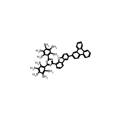 Bc1c(B)c(B)c(-c2nc(-c3c(B)c(B)c(B)c(B)c3B)nc(-c3cccc4c3oc3ccc(-c5ccc6c7ccccc7c7ccccc7c6c5)cc34)n2)c(B)c1B